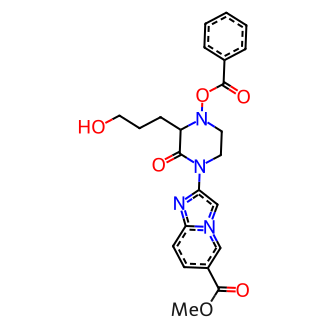 COC(=O)c1ccc2nc(N3CCN(OC(=O)c4ccccc4)C(CCCO)C3=O)cn2c1